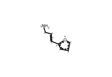 NC/C=C/c1ccco1